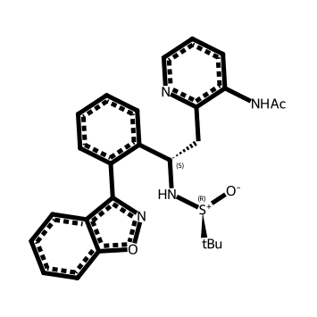 CC(=O)Nc1cccnc1C[C@H](N[S@@+]([O-])C(C)(C)C)c1ccccc1-c1noc2ccccc12